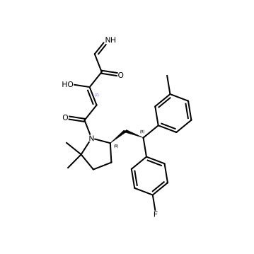 Cc1cccc([C@H](C[C@H]2CCC(C)(C)N2C(=O)/C=C(\O)C(=O)C=N)c2ccc(F)cc2)c1